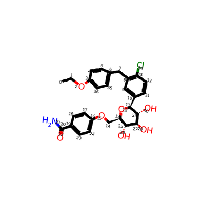 CCOc1ccc(Cc2cc([C@@H]3O[C@H](COc4ccc(C(N)=O)cc4)[C@@H](O)[C@H](O)[C@H]3O)ccc2Cl)cc1